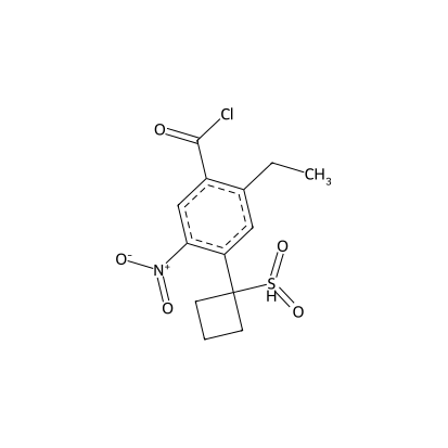 CCc1cc(C2([SH](=O)=O)CCC2)c([N+](=O)[O-])cc1C(=O)Cl